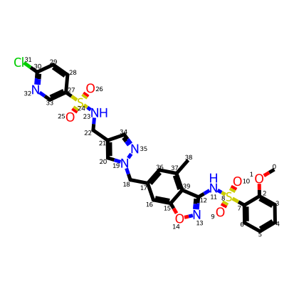 COc1ccccc1S(=O)(=O)Nc1noc2cc(Cn3cc(CNS(=O)(=O)c4ccc(Cl)nc4)cn3)cc(C)c12